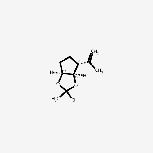 C=C(C)[C@H]1CC[C@@H]2OC(C)(C)O[C@@H]21